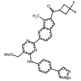 COCc1cnc(-c2ccc3cc(C(=O)N4CC(F)(F)C4)n(C)c3c2)nc1Nc1ccc(-c2cn[nH]c2)cc1